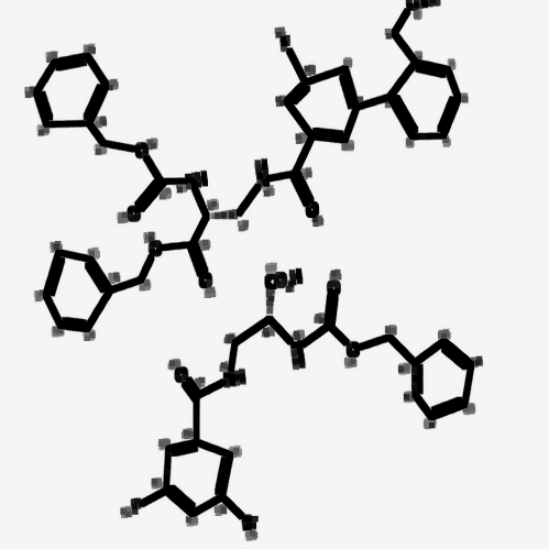 COCc1ccccc1-c1cc(F)cc(C(=O)NC[C@@H](NC(=O)OCc2ccccc2)C(=O)OCc2ccccc2)c1.O=C(N[C@H](CNC(=O)c1cc(F)cc(Br)c1)C(=O)O)OCc1ccccc1